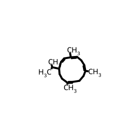 CC1=CCC=C(C)CCC=C(C)CCC(C(C)C)C=C1